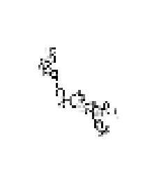 C[C@H]1CN(C(=O)C2CCC(CCc3ccc4c(c3)n(C)c(=O)n4C3CCC(=O)NC3=O)CC2)CC[C@H]2CC[C@@H](C(=O)N[C@@H](CCC(N)=O)C(=O)NCc3ccc(S(C)(=O)=O)cc3)N2C1=O